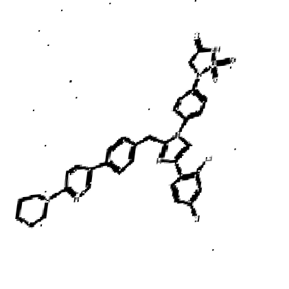 O=C1CN(c2ccc(-n3cc(-c4ccc(Cl)cc4Cl)nc3Cc3ccc(-c4ccc(N5CCCCC5)nc4)cc3)cc2)S(=O)(=O)N1